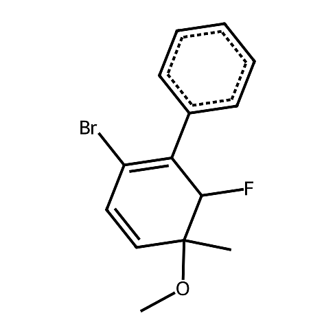 COC1(C)C=CC(Br)=C(c2ccccc2)C1F